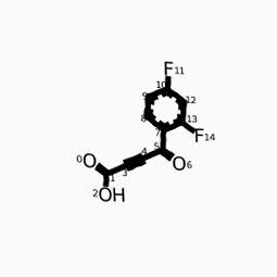 O=C(O)C#CC(=O)c1ccc(F)cc1F